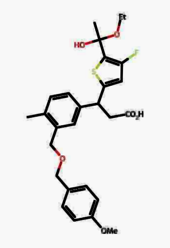 CCOC(C)(O)c1sc(C(CC(=O)O)c2ccc(C)c(COCc3ccc(OC)cc3)c2)cc1F